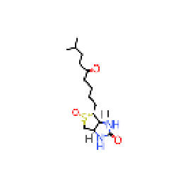 CC(C)CCC(=O)CCCC[C@H]1[C@H]2NC(=O)N[C@H]2C[S+]1[O-]